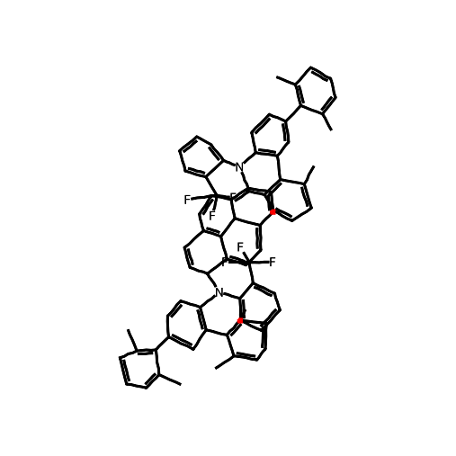 Cc1cccc(C)c1-c1ccc(N(C2=C3C=CC4=C5C(=CC=C(C=C2)C35)C(N(c2ccc(-c3c(C)cccc3C)cc2-c2c(C)cccc2C)c2ccccc2C(F)(F)F)C=C4)c2ccccc2C(F)(F)F)c(-c2c(C)cccc2C)c1